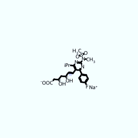 CC(C)c1nc(N(C)S(C)(=O)=O)nc(-c2ccc(F)cc2)c1/C=C/[C@@H](O)C[C@@H](O)CC(=O)[O-].[Na+]